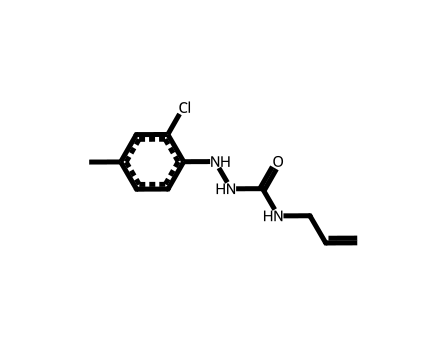 C=CCNC(=O)NNc1ccc(C)cc1Cl